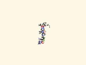 CC(C)(C)OC(=O)N1CCC(N(C(=O)c2cnc(-c3ccc(C(=O)N4CCC[C@@H]4C#N)c(F)c3)nc2)C2CC2)CC1